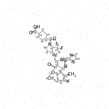 CCOC(=O)C1=C(CN2CC(F)(F)C3C2CCN3C(=O)C2CCC(C(=O)O)CC2)NC(c2nccs2)=NC1c1cccc(F)c1C